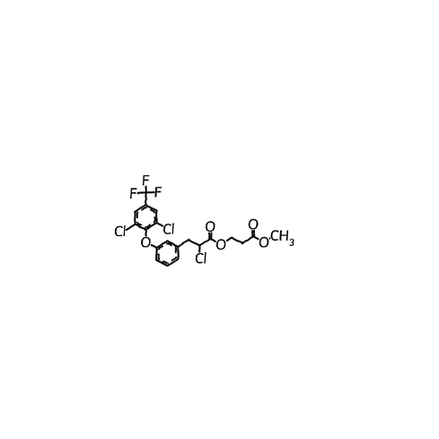 COC(=O)CCOC(=O)C(Cl)Cc1cccc(Oc2c(Cl)cc(C(F)(F)F)cc2Cl)c1